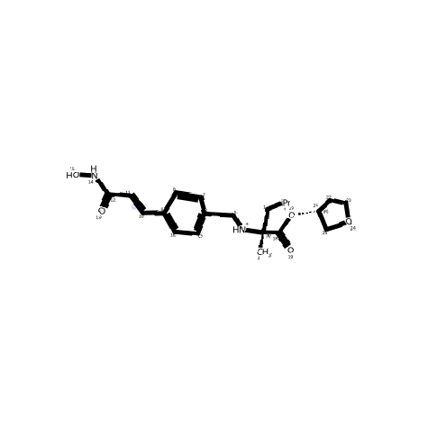 CC(C)C[C@@](C)(NCc1ccc(/C=C/C(=O)NO)cc1)C(=O)O[C@@H]1CCOC1